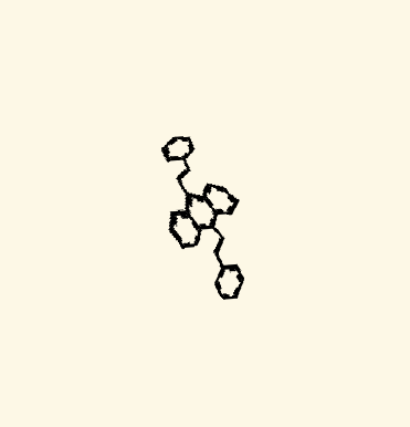 C(=Cc1c2ccccc2c(C=Cc2ccccc2)c2ccccc12)c1ccccc1